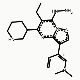 C=C/C(=C\N(C)C)c1cnn2c(NN)c(CC)c(C3CCCNC3)nc12